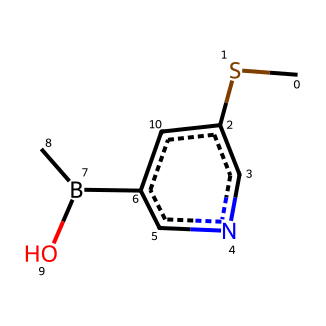 CSc1cncc(B(C)O)c1